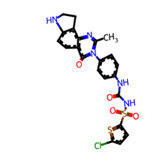 Cc1nc2c3c(ccc2c(=O)n1-c1ccc(NC(=O)NS(=O)(=O)c2ccc(Cl)s2)cc1)NCC3